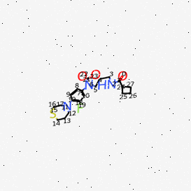 O=C(NCC1CN(c2ccc(N3CCCSCC3)c(F)c2)C(=O)O1)C1CCC1